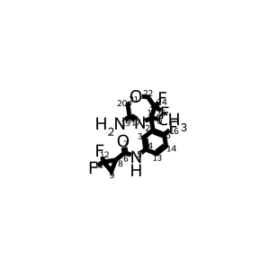 CC1(c2cc(NC(=O)C3CC3(F)F)ccc2F)N=C(N)COCC1(F)F